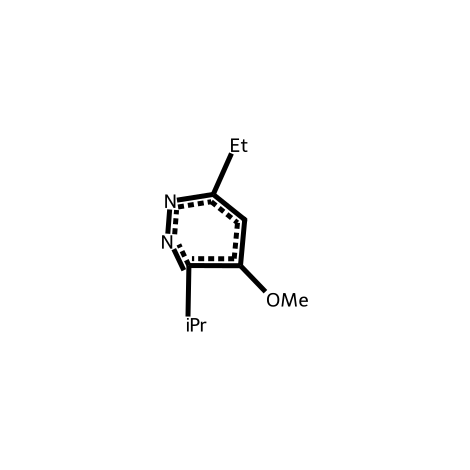 CCc1cc(OC)c(C(C)C)nn1